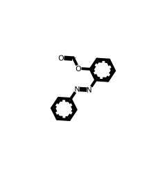 O=[C]Oc1ccccc1N=Nc1ccccc1